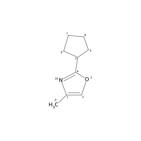 Cc1coc(C2CCCC2)n1